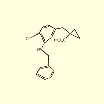 O=C(O)C1(Cc2ccc(Cl)c(NCc3ccccc3)c2)CC1